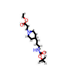 CCOC(=O)CCN1CCC(CCCNC(=O)OC(C)(C)C)CC1